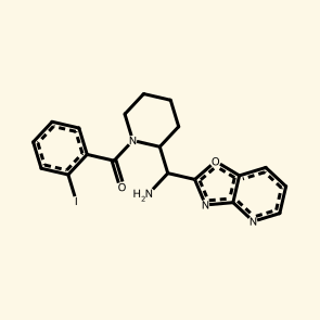 NC(c1nc2ncccc2o1)C1CCCCN1C(=O)c1ccccc1I